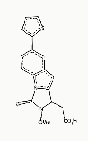 CON1C(=O)n2c(cc3cc(-c4cccs4)ccc32)C1CC(=O)O